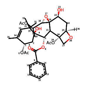 CC(=O)O[C@H]1C[C@@](O)([C@@H](OC(=O)c2ccccc2)C2[C@@]3(O[C@H]3[C@@H](C)OC(C)=O)[C@@H](O)C[C@H]3OC[C@@]23OC(C)=O)C(C)(C)C=C1C